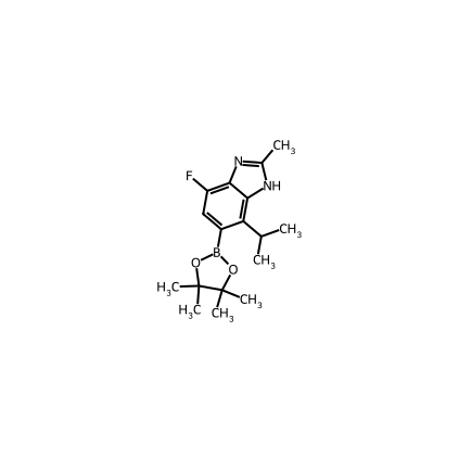 Cc1nc2c(F)cc(B3OC(C)(C)C(C)(C)O3)c(C(C)C)c2[nH]1